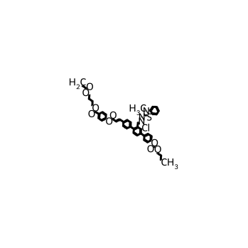 C=CC(=O)OCCCCOC(=O)c1ccc(OC(=O)/C=C/c2ccc(-c3ccc(-c4ccc(OC(=O)OCCCC)cc4)c(Cl)c3/C=N/N=c3\sc4ccccc4n3C)cc2)cc1